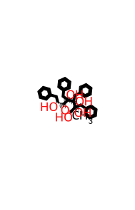 CC1(O)O[C@H](C(O)Cc2ccccc2)[C@](O)(Cc2ccccc2)[C@@](O)(Cc2ccccc2)[C@@]1(O)Cc1ccccc1